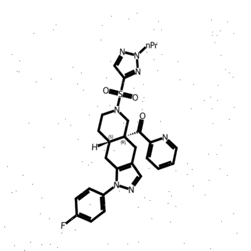 CCCn1ncc(S(=O)(=O)N2CC[C@H]3Cc4c(cnn4-c4ccc(F)cc4)C[C@]3(C(=O)c3ccccn3)C2)n1